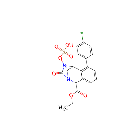 CCOC(=O)C1c2cccc(-c3ccc(F)cc3)c2C2CN1C(=O)N2OS(=O)(=O)O